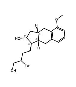 COc1cccc2c1C[C@H]1C[C@@H](O)[C@H](CCC(O)CO)[C@H]1C2